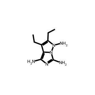 CCc1c(CC)n(N)n2c(N)nc(N)c12